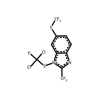 FC(F)(F)Sc1ccc2nc(C(F)(F)F)n(SC(F)(Cl)Cl)c2c1